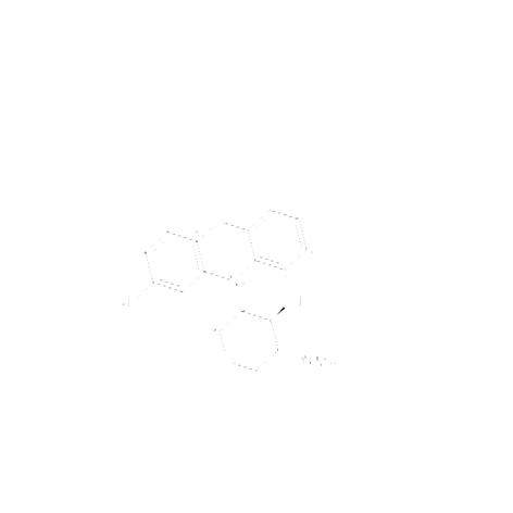 CN[C@@H]1COC[C@H](N2c3ccccc3Oc3ccc(F)cc32)[C@H]1O